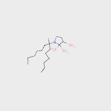 BC1CCN(C(C)(CCCCCC)CCCCCC)C1(B)B